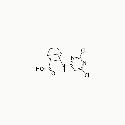 O=C(O)C1C2CCC(CC2)C1Nc1cc(Cl)nc(Cl)n1